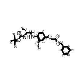 CC[C@H](CNc1ccc(OCC(=O)OCc2ccccc2)cc1OC)NC(=O)OC(C)(C)C